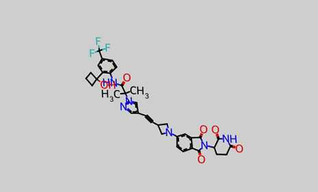 CC(C)(C(=O)Nc1ccc(C(F)(F)F)cc1C1(O)CCC1)n1cc(C#CC2CN(c3ccc4c(c3)C(=O)N(C3CCC(=O)NC3=O)C4=O)C2)cn1